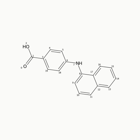 O=C(O)c1ccc(Nc2cccc3ccccc23)cc1